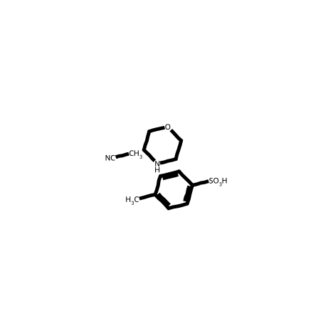 C1COCCN1.CC#N.Cc1ccc(S(=O)(=O)O)cc1